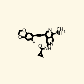 CNc1ncc(C#Cc2cc3c(cc2F)OCCO3)c2cc(NC(=O)C3CC3)ncc12